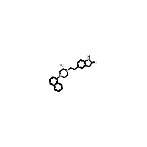 Cl.O=C1Cc2cc(CCN3CCN(c4cccc5ccccc45)CC3)ccc2N1